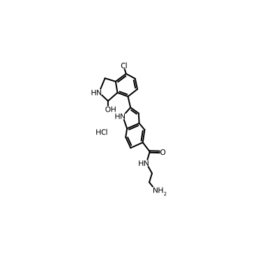 Cl.NCCNC(=O)c1ccc2[nH]c(-c3ccc(Cl)c4c3C(O)NC4)cc2c1